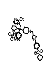 CCc1nccn1C[C@@](c1cccc(F)c1)(C1CCN(CC2CN(c3ccc(S(=O)(=O)C4CCCC4)cc3)C2)CC1)C1CCC[C@@H]1NC(=O)OC